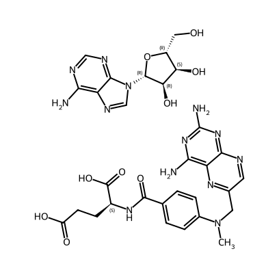 CN(Cc1cnc2nc(N)nc(N)c2n1)c1ccc(C(=O)N[C@@H](CCC(=O)O)C(=O)O)cc1.Nc1ncnc2c1ncn2[C@@H]1O[C@H](CO)[C@@H](O)[C@H]1O